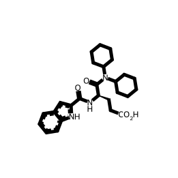 O=C(O)CC[C@@H](NC(=O)c1cc2ccccc2[nH]1)C(=O)N(C1CCCCC1)C1CCCCC1